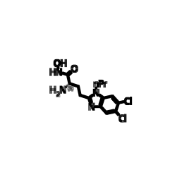 CCCn1c(CC[C@H](N)C(=O)NO)nc2cc(Cl)c(Cl)cc21